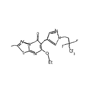 CCOc1nc2sc(C)nn2c(=O)c1-c1cnn(CC(F)(F)C(F)(F)F)c1